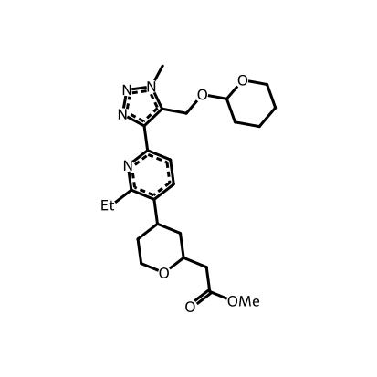 CCc1nc(-c2nnn(C)c2COC2CCCCO2)ccc1C1CCOC(CC(=O)OC)C1